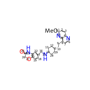 COc1ccc2nccc(CC[C@H]3CC[C@H](NCc4ccc5c(c4)NC(=O)CO5)CC3)c2n1